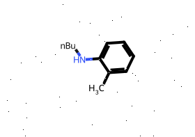 CCCCNc1ccccc1C